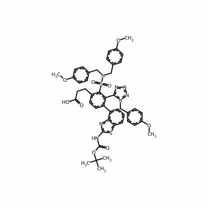 COc1ccc(CN(Cc2ccc(OC)cc2)S(=O)(=O)c2c(CCC(=O)O)ccc(-c3cccc4sc(NC(=O)OC(C)(C)C)nc34)c2-c2nnnn2Cc2ccc(OC)cc2)cc1